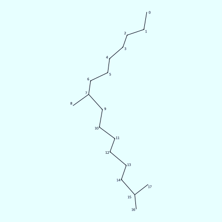 CCCCCCCC(C)CCCCCCC(C)C